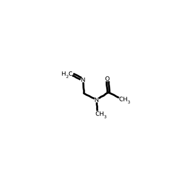 C=NCN(C)C(C)=O